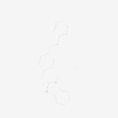 Cl.O=C(CN1CCC(CN2C(=O)c3ccccc3C2=O)CC1)c1ccccc1